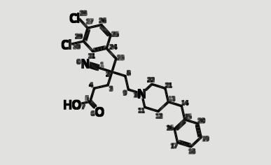 N#CC(CCC(=O)O)(CCN1CCC(Cc2ccccc2)CC1)Cc1ccc(Cl)c(Cl)c1